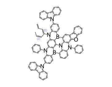 C=C/C=C(\C=C/C)N1c2cc(-n3c4ccccc4c4ccccc43)ccc2B2c3cc4c(oc5ccccc54)c4c3N3c5c(cccc5N4c4ccccc4)B4c5ccc(-n6c7ccccc7c7ccccc76)cc5N(c5ccccc5)c5cc1c2c3c54